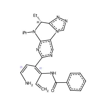 C=C/C(NC(=O)c1ccccc1)=C(\C=C/N)c1ncc2c(n1)N(C(C)C)[C@H](CC)c1nncn1-2